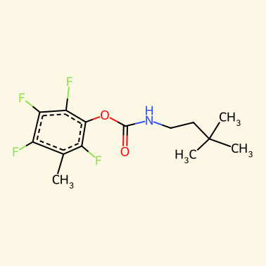 Cc1c(F)c(F)c(F)c(OC(=O)NCCC(C)(C)C)c1F